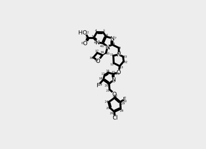 O=C(O)c1ccc2nc(CN3CCC(Oc4ccc(F)c(COc5ccc(Cl)cc5F)n4)CC3)n(C[C@@H]3CCO3)c2n1